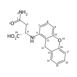 NC(=O)C[C@H](Nc1cccc2c1Cc1ccccc1O2)C(=O)O